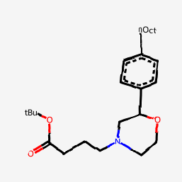 CCCCCCCCc1ccc(C2CN(CCCC(=O)OC(C)(C)C)CCO2)cc1